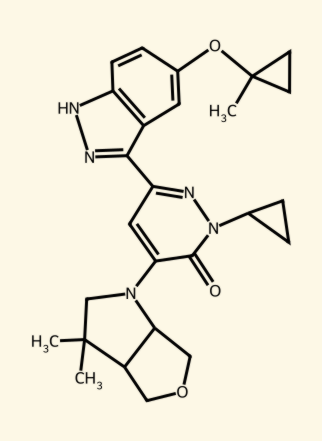 CC1(Oc2ccc3[nH]nc(-c4cc(N5CC(C)(C)C6COCC65)c(=O)n(C5CC5)n4)c3c2)CC1